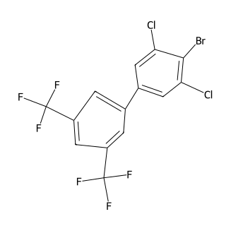 FC(F)(F)c1cc(-c2cc(Cl)c(Br)c(Cl)c2)cc(C(F)(F)F)c1